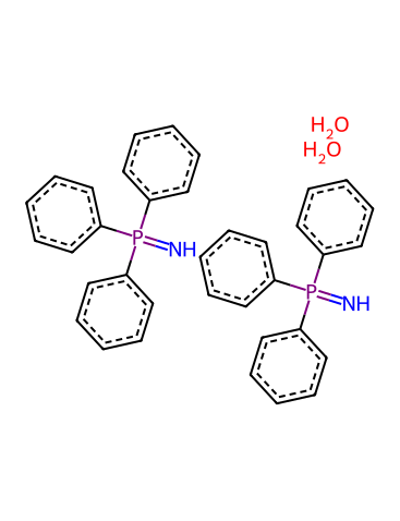 N=P(c1ccccc1)(c1ccccc1)c1ccccc1.N=P(c1ccccc1)(c1ccccc1)c1ccccc1.O.O